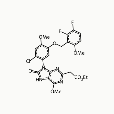 CCOC(=O)Cc1nc(OC)c2[nH]c(=O)n(-c3cc(OCc4c(OC)ccc(F)c4F)c(OC)cc3Cl)c2n1